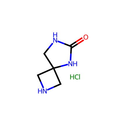 Cl.O=C1NCC2(CNC2)N1